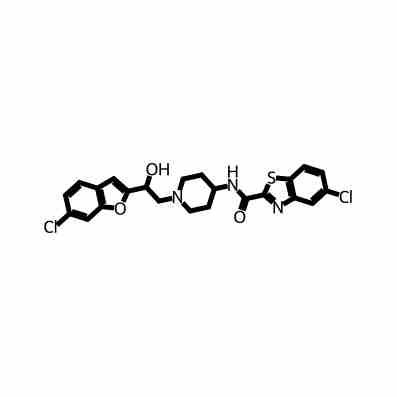 O=C(NC1CCN(CC(O)c2cc3ccc(Cl)cc3o2)CC1)c1nc2cc(Cl)ccc2s1